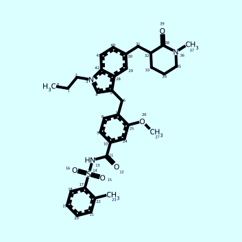 CCCn1cc(Cc2ccc(C(=O)NS(=O)(=O)c3ccccc3C)cc2OC)c2cc(CC3CCCN(C)C3=O)ccc21